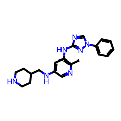 Cc1ncc(NCC2CCNCC2)cc1Nc1ncn(-c2ccccc2)n1